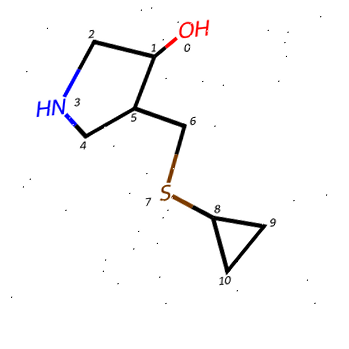 OC1CNCC1CSC1CC1